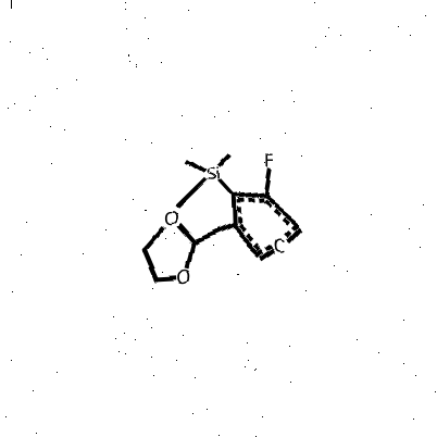 C[Si](C)(C)c1c(F)cccc1C1OCCO1